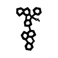 CC1(c2ccccc2)c2cc(-c3ccc4c5c(cccc35)-c3ccccc3O4)ccc2-c2c1ccc1ccccc21